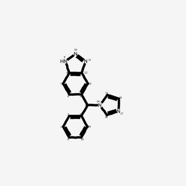 c1ccc(C(c2ccc3[nH]nnc3c2)n2ccnc2)cc1